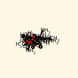 C[C@H](N)C(=O)NCC(=O)N[C@@H](CS)C(=O)N[C@@H](CCCCN)C(=O)N[C@H](C)C(=O)N[C@@H](Cc1ccccc1)C(=O)N[C@@H](Cc1ccccc1)C(=O)N[C@H](Cc1c[nH]c2ccccc12)C(=O)N[C@@H](CCCCN)C(=O)N[C@H](C(=O)N[C@@H](Cc1ccccc1)C(=O)N[C@H](C(=O)N[C@@H](CO)C(=O)N[C@@H](CS)C(=O)O)[C@@H](C)O)[C@@H](C)O